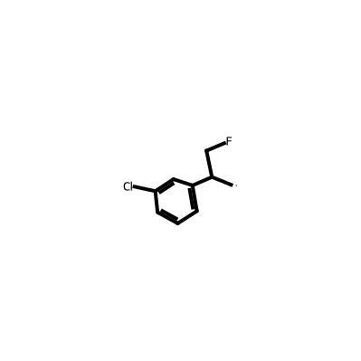 [CH2]C(CF)c1cccc(Cl)c1